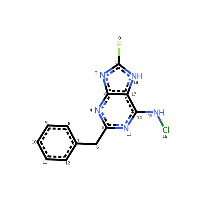 Fc1nc2nc(Cc3ccccc3)nc(NCl)c2[nH]1